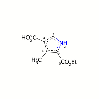 CCOC(=O)c1[nH]cc(C(=O)O)c1C